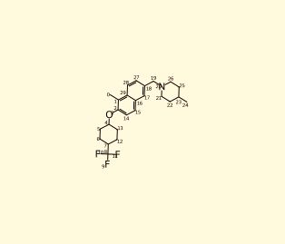 Cc1c(OC2CCC(C(F)(F)F)CC2)ccc2cc(CN3CCC(C)CC3)ccc12